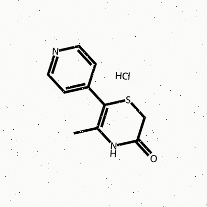 CC1=C(c2ccncc2)SCC(=O)N1.Cl